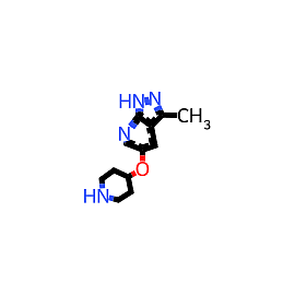 Cc1n[nH]c2ncc(OC3CCNCC3)cc12